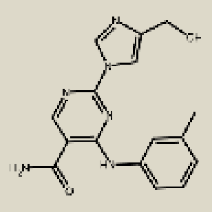 Cc1cccc(Nc2nc(-n3cnc(CO)c3)ncc2C(N)=O)c1